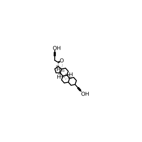 C[C@]12CC[C@H]3[C@@H](CCC4CC(C#CO)CC[C@@]43C)[C@@H]1CC[C@@H]2C(=O)CC#CO